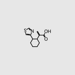 C=C(C(=O)O)C1CCCCC1c1cscn1